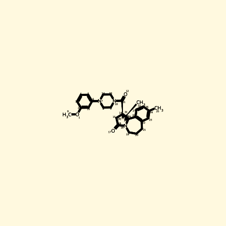 COc1cccc(N2CCN(C(=O)[C@H]3C4CC(=O)N5CCCc6cc(C)ccc6C45C[C@@H]3C)CC2)c1